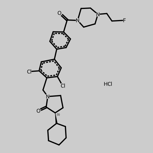 Cl.O=C(c1ccc(-c2cc(Cl)c(CN3CC[C@@H](C4CCCCC4)C3=O)c(Cl)c2)cc1)N1CCN(CCF)CC1